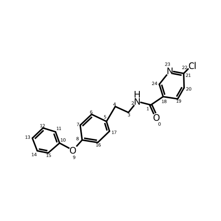 O=C(NCCc1ccc(Oc2ccccc2)cc1)c1ccc(Cl)nc1